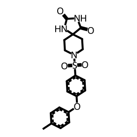 Cc1ccc(Oc2ccc(S(=O)(=O)N3CCC4(CC3)NC(=O)NC4=O)cc2)cc1